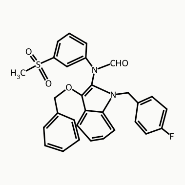 CS(=O)(=O)c1cccc(N(C=O)c2c(OCc3ccccc3)c3ccccc3n2Cc2ccc(F)cc2)c1